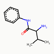 CC(C)C(N)C(=O)Nc1ccccc1